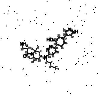 CC1(C)CC(N(CCCF)c2ccc(-c3ccc(-c4cn[nH]c4)cc3O)nn2)CC(C)(C)N1C(=O)CCN